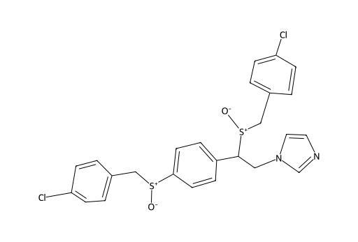 [O-][S+](Cc1ccc(Cl)cc1)c1ccc(C(Cn2ccnc2)[S+]([O-])Cc2ccc(Cl)cc2)cc1